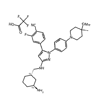 COC1(C)CCN(c2ccc(-n3nc(NC[C@H]4CCC[C@H](N)C4)cc3-c3ccc(C#N)c(F)c3)cc2)CC1.O=C(O)C(F)(F)F